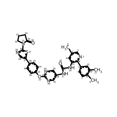 Cc1cnc(-c2ccc(C)c(C)c2)c(NC(=O)Nc2cnc(Oc3ccc(-c4cnc(N5CCCC5=O)s4)cc3)nc2)c1